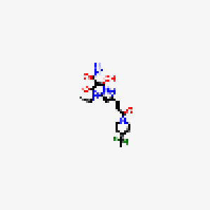 CC(C)Cn1c(=O)c(C(N)=O)c(O)n2nc(C=CC(=O)N3CCC(C(C)(F)F)CC3)cc12